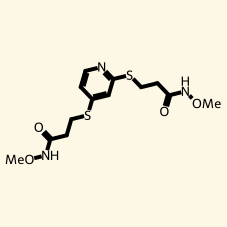 CONC(=O)CCSc1ccnc(SCCC(=O)NOC)c1